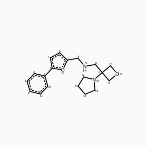 c1ccc(-c2ccc(CNCC3(N4CCCC4)COC3)o2)cc1